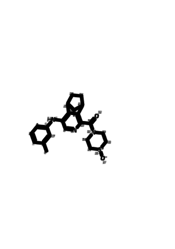 Cc1cccc(Nc2cnc(C(=O)N3CC[S+]([O-])CC3)c3c2C2CCC3C2)c1